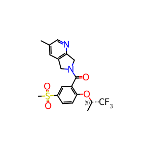 Cc1cnc2c(c1)CN(C(=O)c1cc(S(C)(=O)=O)ccc1O[C@@H](C)C(F)(F)F)C2